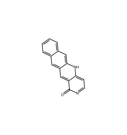 O=c1nccc2[nH]c3cc4ccccc4cc3cc1-2